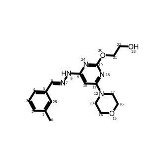 Cc1cccc(C=NNc2cc(N3CCOCC3)nc(OCCO)n2)c1